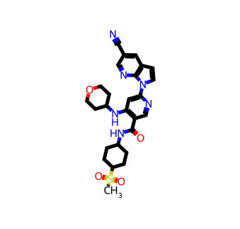 CS(=O)(=O)C1CCC(NC(=O)c2cnc(-n3ccc4cc(C#N)cnc43)cc2NC2CCOCC2)CC1